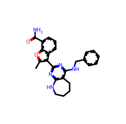 Cc1oc2c(C(N)=O)cccc2c1-c1nc2c(c(NCc3ccccc3)n1)CCCCN2